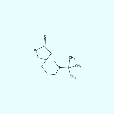 CC(C)(C)N1CCCC2(CNC(=O)C2)C1